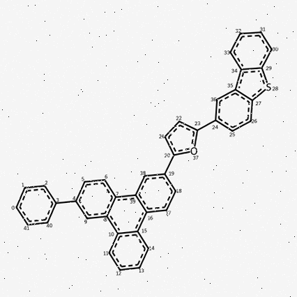 c1ccc(-c2ccc3c(c2)c2ccccc2c2ccc(-c4ccc(-c5ccc6sc7ccccc7c6c5)o4)cc23)cc1